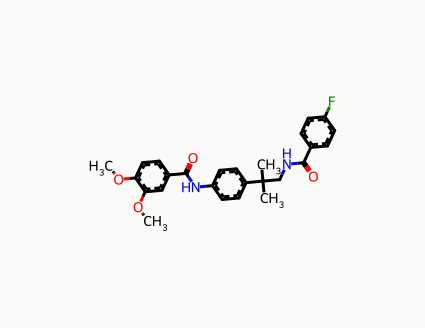 COc1ccc(C(=O)Nc2ccc(C(C)(C)CNC(=O)c3ccc(F)cc3)cc2)cc1OC